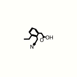 CCc1cccc(CC(=O)O)c1CC#N